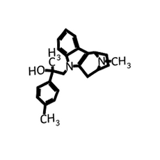 Cc1ccc(C(C)(O)Cn2c3c(c4ccccc42)C2CCC(C3)N2C)cc1